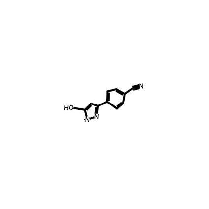 N#Cc1ccc(C2=N[N]C(O)=C2)cc1